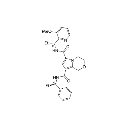 CC[C@@H](NC(=O)c1cc(C(=O)N[C@H](CC)c2ncccc2OC)n2c1COCC2)c1ccccc1